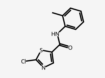 Cc1ccccc1NC(=O)c1cnc(Cl)s1